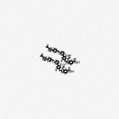 COCCn1c(Cc2cc(F)c(-c3cccc(OCc4ccc(-n5cnc(C6CC6)n5)nc4)n3)cc2F)nc2ccc(C(=O)O)cc21.COCCn1c(Cc2cc(F)c(-c3cccc(OCc4ccc(-n5cnc(C6CC6)n5)nc4)n3)cc2F)nc2ccc(C(=O)O)cc21